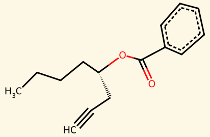 C#CC[C@H](CCCC)OC(=O)c1ccccc1